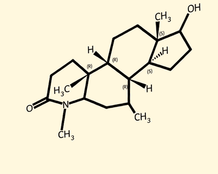 CC1CC2N(C)C(=O)CC[C@]2(C)[C@@H]2CC[C@]3(C)C(O)CC[C@H]3[C@H]12